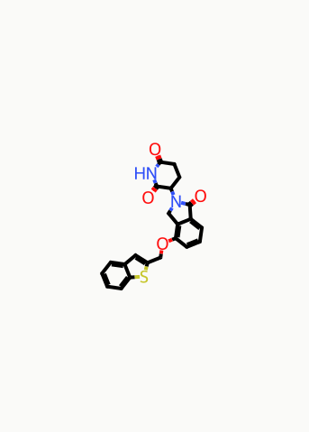 O=C1CCC(N2Cc3c(OCc4cc5ccccc5s4)cccc3C2=O)C(=O)N1